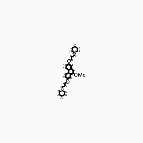 COc1cc2cc(OCCCN3CCCCC3)ccc2c2ccc(OCCCN3CCCCC3)cc12